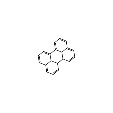 C1=CC2=CC=CC3C2C(=C1)C1=CC=CC2=CC=CC3C21